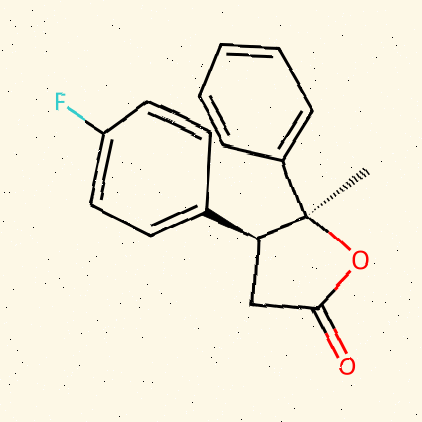 C[C@]1(c2ccccc2)OC(=O)C[C@H]1c1ccc(F)cc1